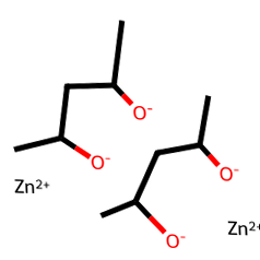 CC([O-])CC(C)[O-].CC([O-])CC(C)[O-].[Zn+2].[Zn+2]